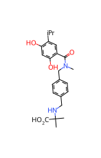 CC(C)c1cc(C(=O)N(C)Cc2ccc(CNC(C)(C)C(=O)O)cc2)c(O)cc1O